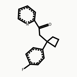 O=C(CC1(c2ccc(F)cc2)CCC1)c1ccccn1